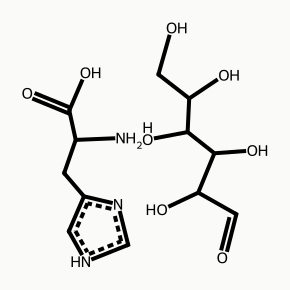 NC(Cc1c[nH]cn1)C(=O)O.O=CC(O)C(O)C(O)C(O)CO